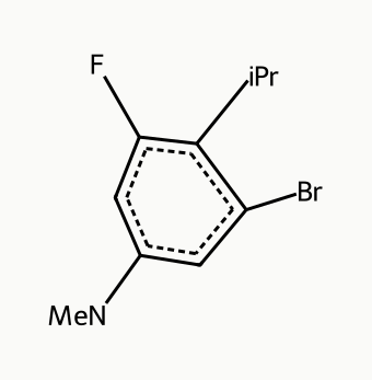 CNc1cc(F)c(C(C)C)c(Br)c1